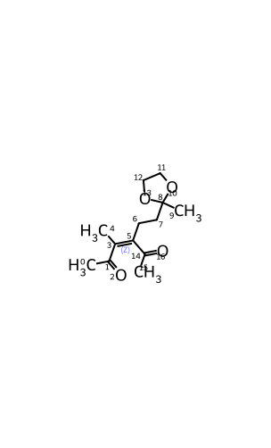 CC(=O)/C(C)=C(/CCC1(C)OCCO1)C(C)=O